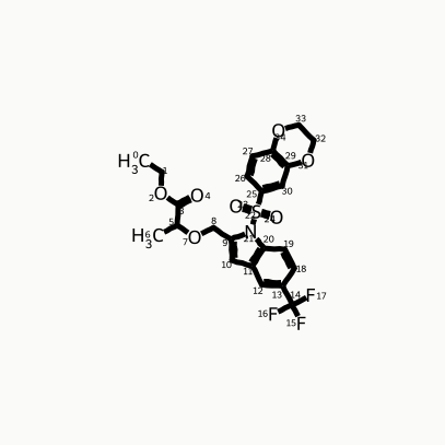 CCOC(=O)C(C)OCc1cc2cc(C(F)(F)F)ccc2n1S(=O)(=O)c1ccc2c(c1)OCCO2